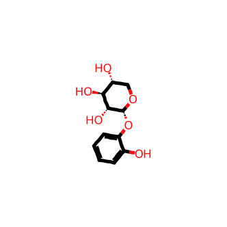 Oc1ccccc1O[C@H]1OC[C@@H](O)[C@H](O)[C@H]1O